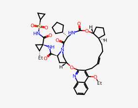 CCOc1c2c(nc3ccccc13)O[C@@H]1C[C@@H](C(=O)N[C@]3(C(=O)NS(=O)(=O)C4CC4)C[C@H]3CC)N(C1)C(=O)[C@H](C1CCCC1)NC(=O)O[C@@H]1CCC[C@H]1CC/C=C/C2